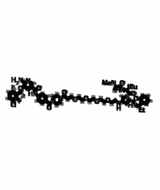 CC[C@H](NC(=O)[C@H]1C[C@@H](NCCOCCOCCOCCOCCC(=O)N2CCN(C(=O)c3ccc(NC(=O)c4cnc(N)c(O[C@H](C)c5c(F)ccc(Cl)c5F)c4)cc3)CC2)CN1C(=O)[C@H](NC(=O)[C@@H](C)NC)C(C)(C)C)c1ccccc1